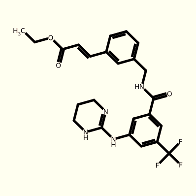 CCOC(=O)/C=C/c1cccc(CNC(=O)c2cc(NC3=NCCCN3)cc(C(F)(F)F)c2)c1